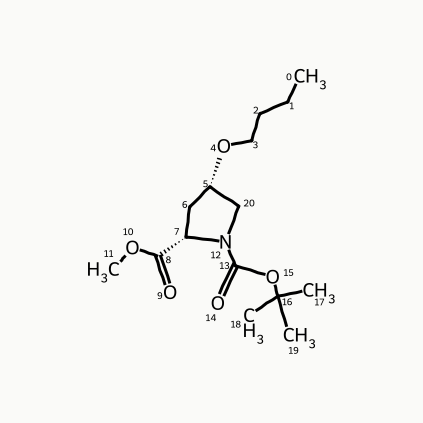 CCCCO[C@H]1C[C@@H](C(=O)OC)N(C(=O)OC(C)(C)C)C1